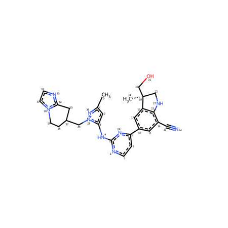 Cc1cc(Nc2nccc(-c3cc(C#N)c4c(c3)[C@@](C)(CO)CN4)n2)n(CC2CCn3ccnc3C2)n1